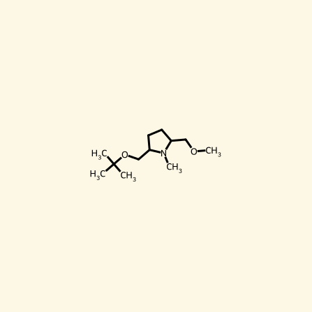 COCC1CCC(COC(C)(C)C)N1C